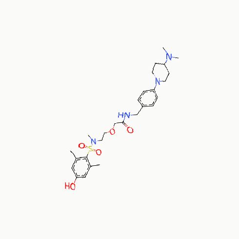 Cc1cc(O)cc(C)c1S(=O)(=O)N(C)CCOCC(=O)NCc1ccc(N2CCC(N(C)C)CC2)cc1